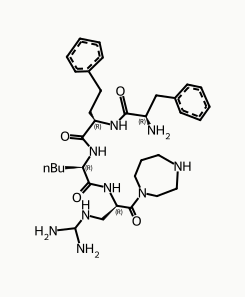 CCCC[C@@H](NC(=O)[C@@H](CCc1ccccc1)NC(=O)[C@H](N)Cc1ccccc1)C(=O)N[C@H](CNC(N)N)C(=O)N1CCCNCC1